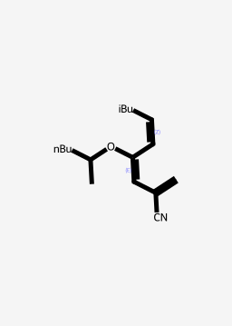 C=C(C#N)/C=C(\C=C/C(C)CC)OC(C)CCCC